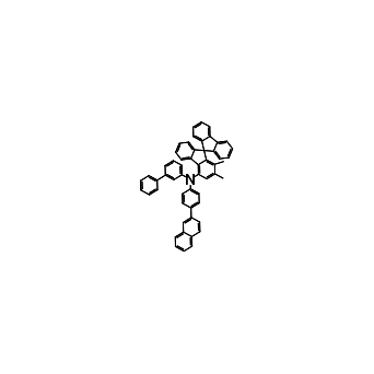 Cc1cc(N(c2ccc(-c3ccc4ccccc4c3)cc2)c2cccc(-c3ccccc3)c2)c2c(c1C)C1(c3ccccc3-c3ccccc31)c1ccccc1-2